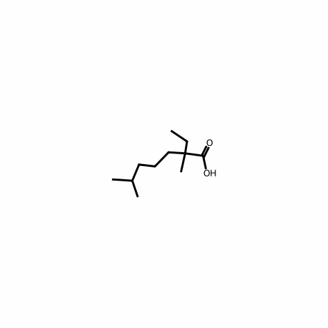 CCC(C)(CCCC(C)C)C(=O)O